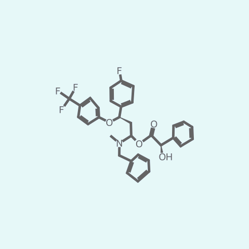 CN(Cc1ccccc1)C(C[C@@H](Oc1ccc(C(F)(F)F)cc1)c1ccc(F)cc1)OC(=O)[C@H](O)c1ccccc1